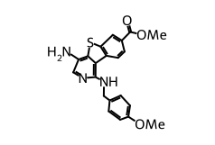 COC(=O)c1ccc2c(c1)sc1c(N)cnc(NCc3ccc(OC)cc3)c12